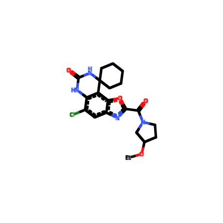 CCOC1CCN(C(=O)c2nc3cc(Cl)c4c(c3o2)C2(CCCCC2)NC(=O)N4)C1